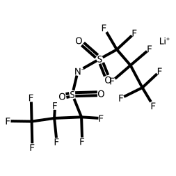 O=S(=O)([N-]S(=O)(=O)C(F)(F)C(F)(F)C(F)(F)F)C(F)(F)C(F)(F)C(F)(F)F.[Li+]